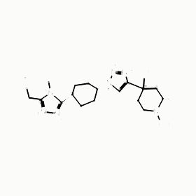 CN1CCC(F)(c2cn([C@H]3CC[C@H](c4nnc(CO)n4C)CC3)nn2)CC1